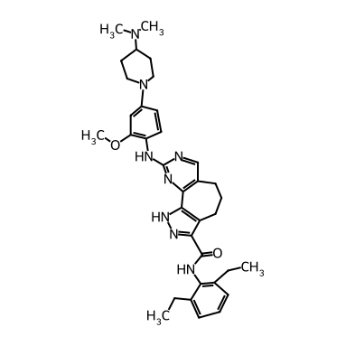 CCc1cccc(CC)c1NC(=O)c1n[nH]c2c1CCCc1cnc(Nc3ccc(N4CCC(N(C)C)CC4)cc3OC)nc1-2